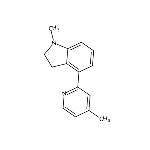 Cc1ccnc(-c2cccc3c2CCN3C)c1